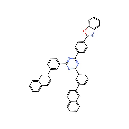 c1cc(-c2ccc3ccccc3c2)cc(-c2nc(-c3ccc(-c4nc5ccccc5o4)cc3)nc(-c3cccc(-c4ccc5ccccc5c4)c3)n2)c1